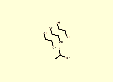 OCCO.OCCO.OCCO.[TeH]C(I)I